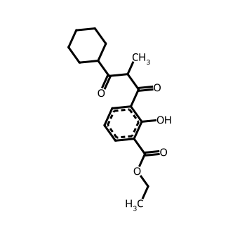 CCOC(=O)c1cccc(C(=O)C(C)C(=O)C2CCCCC2)c1O